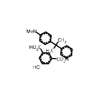 CNc1ccc(C(C)(C)c2ccccc2)cc1.Cl.O=C(O)c1cccc(C(=O)O)c1